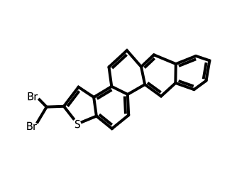 BrC(Br)c1cc2c(ccc3c4cc5ccccc5cc4ccc23)s1